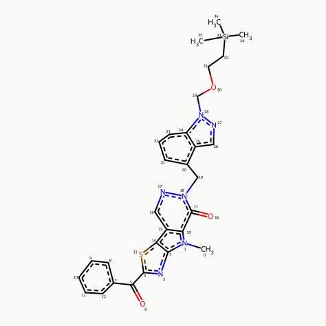 Cn1c2nc(C(=O)c3ccccc3)sc2c2cnn(Cc3cccc4c3cnn4COCC[Si](C)(C)C)c(=O)c21